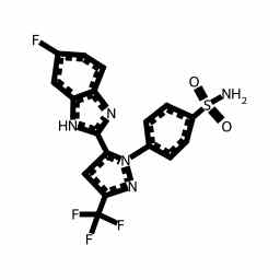 NS(=O)(=O)c1ccc(-n2nc(C(F)(F)F)cc2-c2nc3ccc(F)cc3[nH]2)cc1